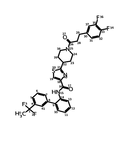 CC(F)(F)c1cccc(-c2ccccc2NC(=O)c2csc(C3CCN(C(=O)CCc4ccc(F)c(F)c4)CC3)n2)c1